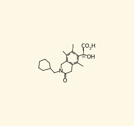 Cc1c(I)c([C@H](O)C(=O)O)c(C)c2c1CN(CC1CCCCC1)C(=O)C2